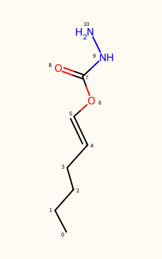 CCCCC=COC(=O)NN